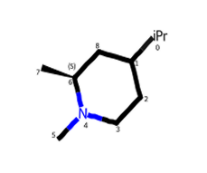 CC(C)C1CCN(C)[C@@H](C)C1